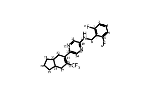 Fc1cccc(F)c1CNc1cnc(C2=C(C(F)(F)F)CC3CCCC3C2)cn1